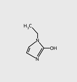 CCn1ccnc1O